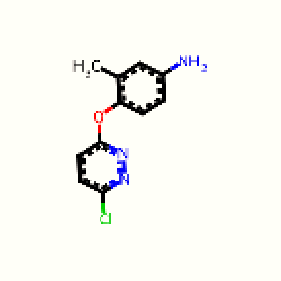 Cc1cc(N)ccc1Oc1ccc(Cl)nn1